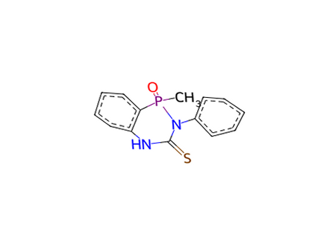 CP1(=O)c2ccccc2NC(=S)N1c1ccccc1